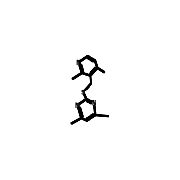 Cc1cc(C)nc(SCc2c(C)ccnc2C)n1